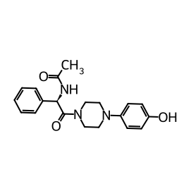 CC(=O)N[C@@H](C(=O)N1CCN(c2ccc(O)cc2)CC1)c1ccccc1